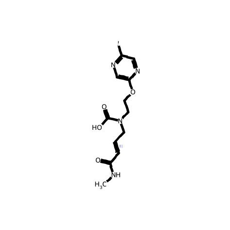 CNC(=O)/C=C/CN(CCOc1cnc(I)cn1)C(=O)O